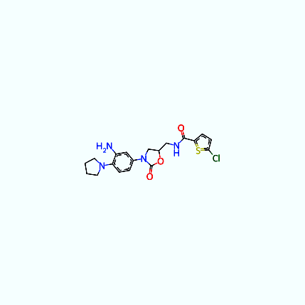 Nc1cc(N2CC(CNC(=O)c3ccc(Cl)s3)OC2=O)ccc1N1CCCC1